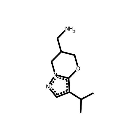 CC(C)c1cnn2c1OCC(CN)C2